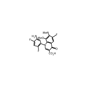 CNc1c(F)cc2c(=O)c(C(=O)O)cn(-c3cc(N)c(F)cc3F)c2c1OC